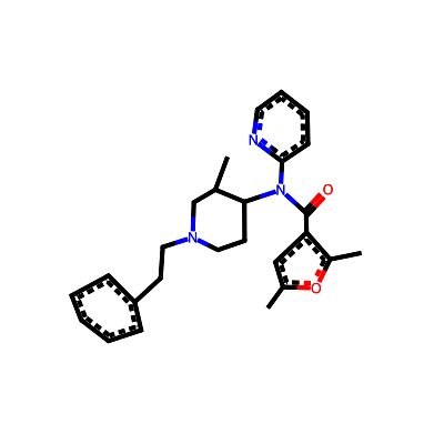 Cc1cc(C(=O)N(c2ccccn2)C2CCN(CCc3ccccc3)CC2C)c(C)o1